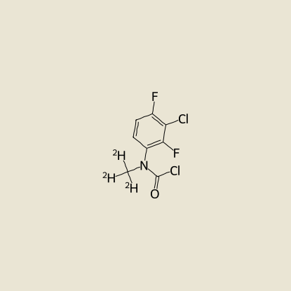 [2H]C([2H])([2H])N(C(=O)Cl)c1ccc(F)c(Cl)c1F